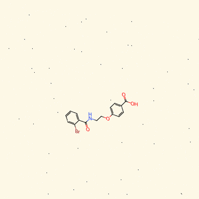 O=C(O)c1ccc(OCCNC(=O)c2ccccc2Br)cc1